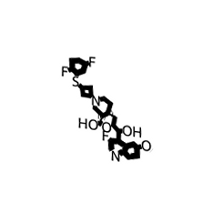 COc1ccc2ncc(F)c(C(O)CC[C@@H]3CCN(C4CC(Sc5cc(F)ccc5F)C4)C[C@@H]3C(=O)O)c2c1